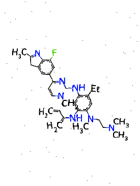 C=CC(=C)Nc1cc(NC/N=C(\C=C/N=C)c2cc(F)c3c(c2)CC(C)=N3)c(CC)cc1N(C)CCN(C)C